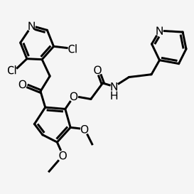 COc1ccc(C(=O)Cc2c(Cl)cncc2Cl)c(OCC(=O)NCCc2cccnc2)c1OC